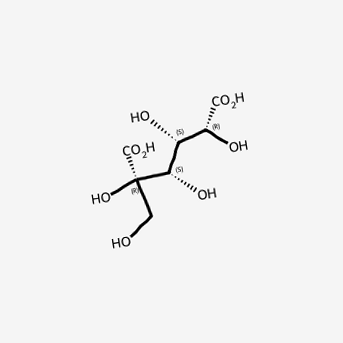 O=C(O)[C@H](O)[C@@H](O)[C@H](O)[C@](O)(CO)C(=O)O